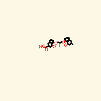 CC1=CC(=O)c2c(cccc2OCC(F)COc2cccc3c2C(=O)C=C(C(=O)O)C3)C1